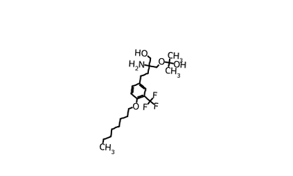 CCCCCCCCOc1ccc(CCC(N)(CO)COC(C)(C)O)cc1C(F)(F)F